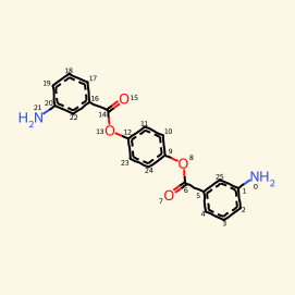 Nc1cccc(C(=O)Oc2ccc(OC(=O)c3cccc(N)c3)cc2)c1